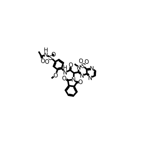 COc1cc(S(=O)(=O)NC(C)=O)ccc1NC(=O)C(C1=Nc2nccnc2S(=O)(=O)N1C)N1C(=O)c2ccccc2C1=O